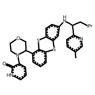 Cc1ccc(C(CC(C)C)Nc2ccc3c(c2)Sc2cccc(C4COCCN4c4ccc[nH]c4=O)c2S3)nc1